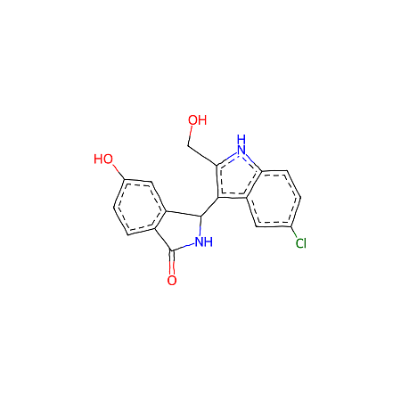 O=C1NC(c2c(CO)[nH]c3ccc(Cl)cc23)c2cc(O)ccc21